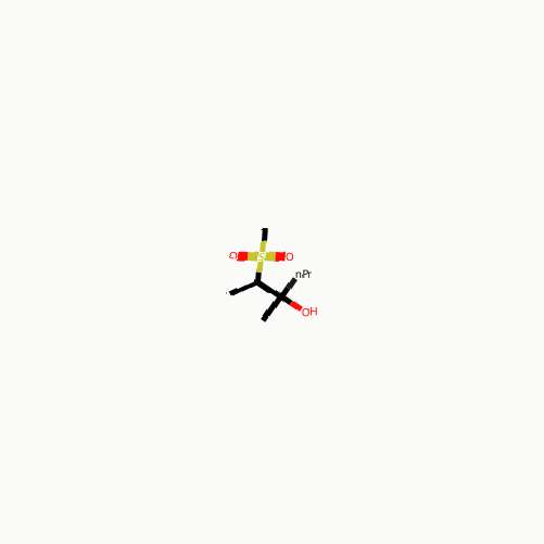 [CH2]C(C(C)(O)CCC)S(C)(=O)=O